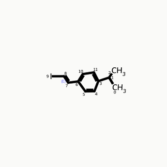 CC(C)c1ccc(/C=C/I)cc1